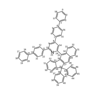 c1ccc(-c2ccc(-c3cc(-c4ccc(-c5ccccc5)cc4)nc(-c4c5c(cc6ccccc46)C(c4ccccc4)(c4ccccc4)c4ccccc4-5)c3)cc2)cc1